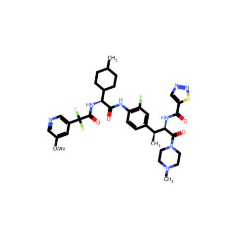 COc1cncc(C(F)(F)C(=O)N[C@H](C(=O)Nc2ccc([C@H](C)[C@@H](NC(=O)c3cnns3)C(=O)N3CCN(C)CC3)cc2F)C2CCC(C)CC2)c1